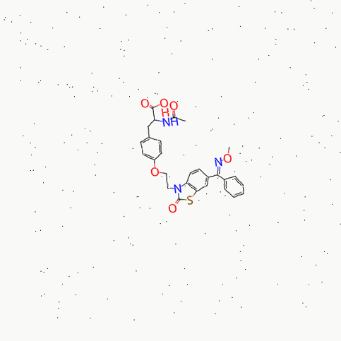 CON=C(c1ccccc1)c1ccc2c(c1)sc(=O)n2CCOc1ccc(CC(NC(C)=O)C(=O)O)cc1